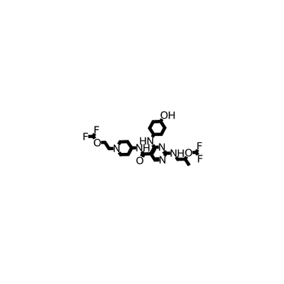 CC(CNc1ncc(C(=O)NC2CCN(CCOC(F)F)CC2)c(NC2CCC(O)CC2)n1)OC(F)F